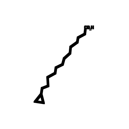 O=C(O)CCCCCCCCCCCCC1CC1